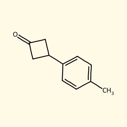 Cc1ccc(C2CC(=O)C2)cc1